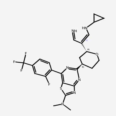 CN(C)c1nc2nc([C@@H]3CCO[C@@H](/C(C=N)=C/NC4CC4)C3)nc(-c3ccc(C(F)(F)F)cc3F)c2s1